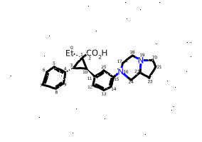 CC[C@@]1(C(=O)O)[C@@H](c2ccccc2)[C@@H]1c1cccc(N2CCN3CCCC3C2)c1